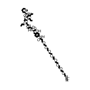 CCCO[C@H](C[C@H](C(C)C)N(CCC)C(=O)[C@@H](NC(=O)[C@H]1CCCCN1C)[C@@H](C)CC)c1nc(C(=O)N[C@@H](Cc2ccc(NC(=O)CCOCCOCCOCCOCCOCCOCCOCCOCCN=[N+]=[N-])cc2)C(=O)O)cs1